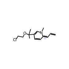 C=C/C=C1/C=CC(C(C)(C)OCCCl)=CN1C